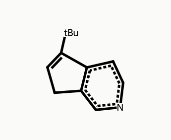 CC(C)(C)C1=CCc2cnccc21